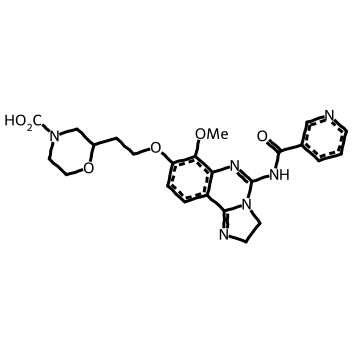 COc1c(OCCC2CN(C(=O)O)CCO2)ccc2c1N=C(NC(=O)c1cccnc1)N1CCN=C21